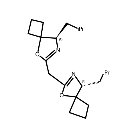 CC(C)C[C@H]1N=C(CC2=N[C@H](CC(C)C)C3(CCC3)O2)OC12CCC2